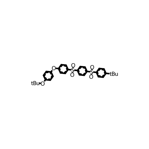 CC(C)(C)Oc1ccc(Oc2ccc(S(=O)(=O)c3ccc(S(=O)(=O)c4ccc(C(C)(C)C)cc4)cc3)cc2)cc1